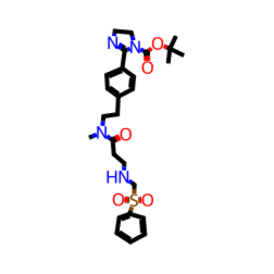 CN(CCc1ccc(C2=NCCN2C(=O)OC(C)(C)C)cc1)C(=O)CCNCS(=O)(=O)c1ccccc1